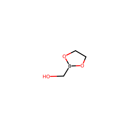 OCB1OCCO1